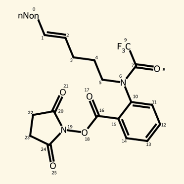 CCCCCCCCCC=CCCCN(C(=O)C(F)(F)F)c1ccccc1C(=O)ON1C(=O)CCC1=O